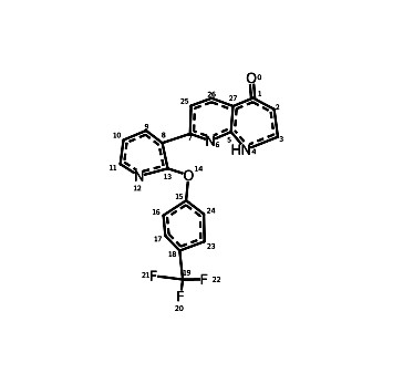 O=c1cc[nH]c2nc(-c3cccnc3Oc3ccc(C(F)(F)F)cc3)ccc12